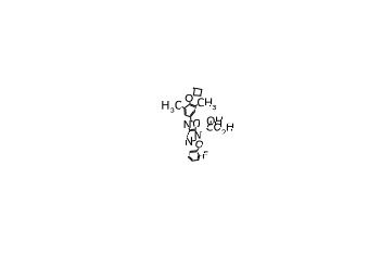 Cc1cc(-c2nc3cnc(Oc4ccccc4F)nc3o2)cc(C)c1OC1CCC1.O=C(O)O